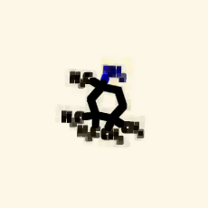 CC1(N)CCC(C)(C)C(C)(C)C1